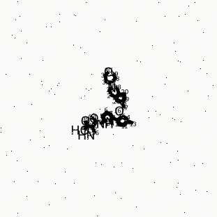 CO/C(Nc1cccc(-c2ccc(C)cc2OCc2ccc3c(c2)CCN(C2CCOCC2)C3)n1)=C(/C=N)C(=O)O